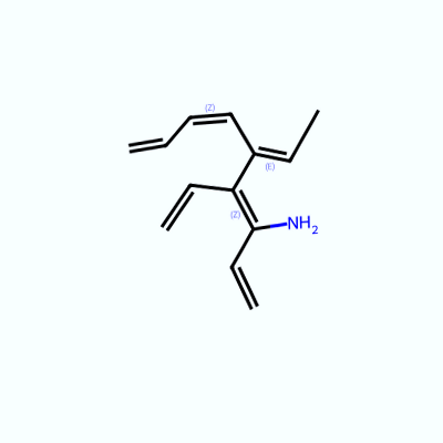 C=C\C=C/C(=C\C)C(/C=C)=C(\N)C=C